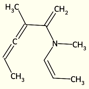 C=C(C(C)=C=CC)N(C)/C=C\C